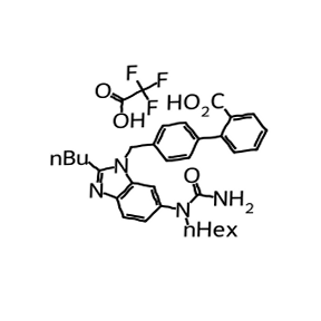 CCCCCCN(C(N)=O)c1ccc2nc(CCCC)n(Cc3ccc(-c4ccccc4C(=O)O)cc3)c2c1.O=C(O)C(F)(F)F